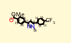 COC(=O)c1ccc(-c2cc(-c3ccc(C(F)(F)F)cc3)n(C)n2)cc1